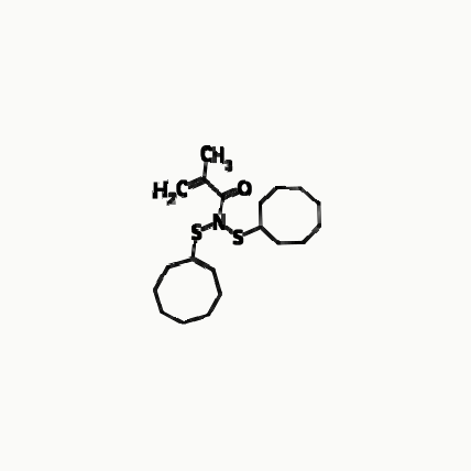 C=C(C)C(=O)N(SC1CCCCCCC1)SC1CCCCCCC1